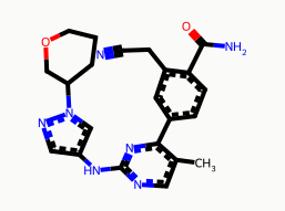 Cc1cnc(Nc2cnn(C3CCCOC3)c2)nc1-c1ccc(C(N)=O)c(CC#N)c1